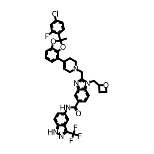 CC1(c2ccc(Cl)cc2F)Oc2cccc(C3=CCN(Cc4nc5cc(C(=O)Nc6ccc7[nH]nc(C(F)(F)F)c7c6)ccc5n4CC4CCO4)CC3)c2O1